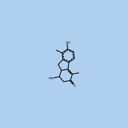 CCCCC1CC(=O)C(C)=C2c3ccc(O)c(C)c3CC21